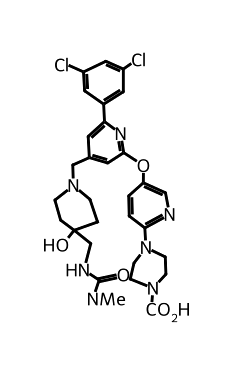 CNC(=O)NCC1(O)CCN(Cc2cc(Oc3ccc(N4CCN(C(=O)O)CC4)nc3)nc(-c3cc(Cl)cc(Cl)c3)c2)CC1